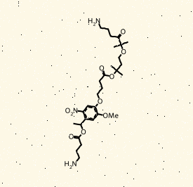 COc1cc(C(C)OC(=O)CCCN)c([N+](=O)[O-])cc1OCCCC(=O)OC(C)(C)CCOC(C)(C)C(=O)CCCN